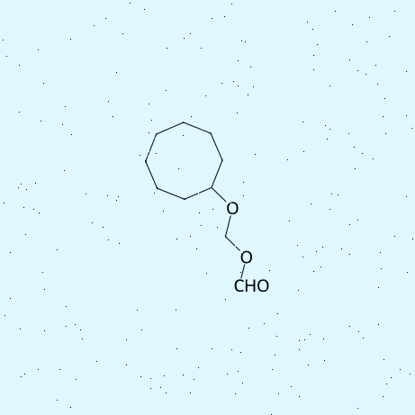 O=COCOC1CCCCCCC1